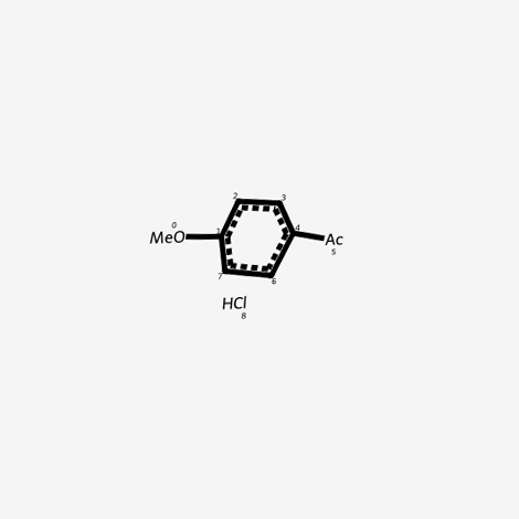 COc1ccc(C(C)=O)cc1.Cl